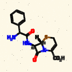 NC(C(=O)N[C@@H]1C(=O)N2C(C(=O)O)=CCS[C@@H]12)c1ccccc1